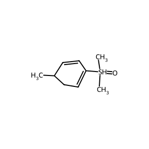 CC1C=CC([SH](C)(C)=O)=CC1